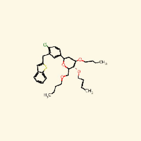 CCCCOCC1OC(c2ccc(Cl)c(Cc3cc4ccccc4s3)c2)C[C@@H](OCCCC)[C@@H]1OCCCC